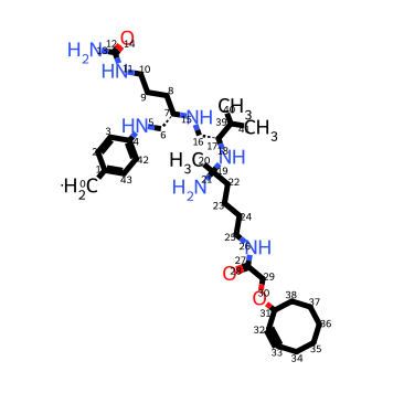 [CH2]c1ccc(NC[C@H](CCCNC(N)=O)NC[C@@H](NC(C)(N)CCCCNC(=O)COC2C#CCCCCC2)C(C)C)cc1